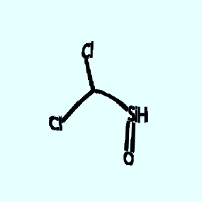 O=[SiH]C(Cl)Cl